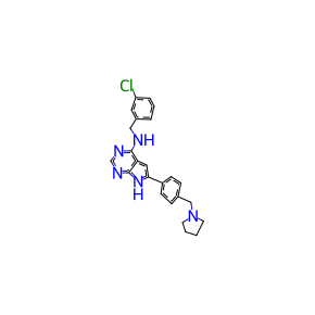 Clc1cccc(CNc2ncnc3[nH]c(-c4ccc(CN5CCCC5)cc4)cc23)c1